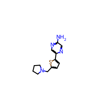 Nc1cnc(-c2ccc(CN3CCCC3)s2)cn1